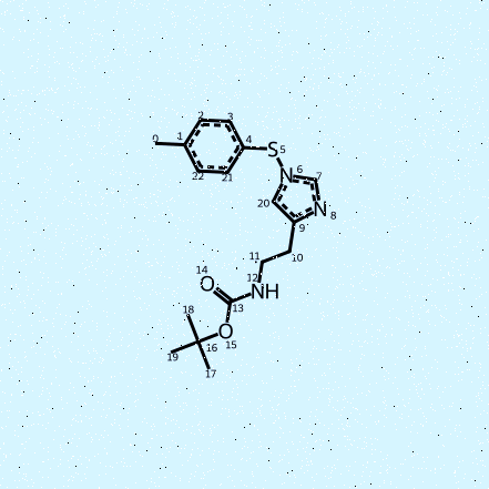 Cc1ccc(Sn2cnc(C[CH]NC(=O)OC(C)(C)C)c2)cc1